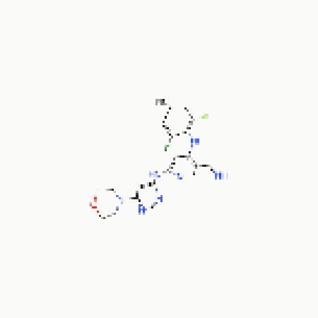 N#Cc1cc(F)c(Nc2cc(Nc3cc(N4CCOCC4)ncn3)ncc2C=N)c(Cl)c1